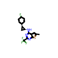 Cc1cc2c(N[C@@H]3C[C@H]3c3ccc(F)cc3)nc(C(F)(F)F)nc2s1